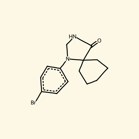 O=C1NCN(c2ccc(Br)cc2)C12CCCCC2